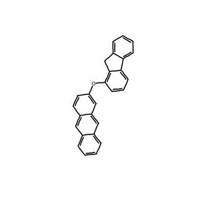 [c]1c(Oc2cccc3c2Cc2ccccc2-3)ccc2cc3ccccc3cc12